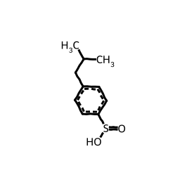 CC(C)Cc1ccc(S(=O)O)cc1